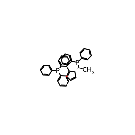 CC([C@@H]1C=CC=C1c1ccccc1P(c1ccccc1)c1ccccc1)P(c1ccccc1)c1ccccc1